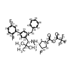 CC(C)(C)[C@@H](NC[C@@H]1CN(C(=O)OC(=O)C(F)(F)F)C[C@@H]1F)c1cc(-c2cc(F)ccc2F)cn1Cc1ccccc1